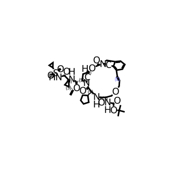 C=C[C@@H]1C[C@]1(NC(=O)[C@@H]1C[C@@H]2CN1C(=O)[C@H](C1CCCC1)NC(=O)[C@@H](NC(=O)OC(C)(C)C)COC/C=C/c1cccc3c1CN(C3)C(=O)O2)C(=O)NS(=O)(=O)C1CC1